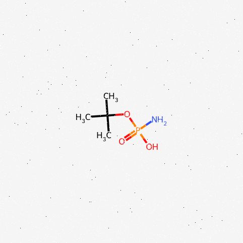 CC(C)(C)OP(N)(=O)O